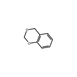 [c]1cccc2c1COCO2